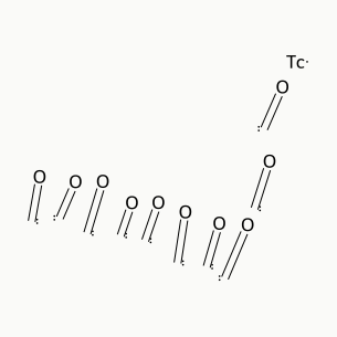 [C]=O.[C]=O.[C]=O.[C]=O.[C]=O.[C]=O.[C]=O.[C]=O.[C]=O.[C]=O.[Tc]